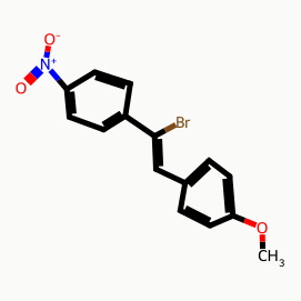 COc1ccc(C=C(Br)c2ccc([N+](=O)[O-])cc2)cc1